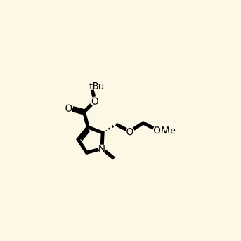 COCOC[C@H]1C(C(=O)OC(C)(C)C)=CCN1C